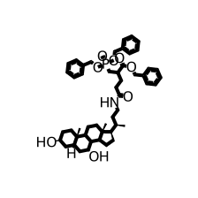 C[C@H](CCNC(=O)CCC(CP(=O)(OCc1ccccc1)OCc1ccccc1)C(=O)OCc1ccccc1)[C@H]1CCC2C3C(CC[C@@]21C)[C@@]1(C)CC[C@@H](O)C[C@H]1C[C@@H]3O